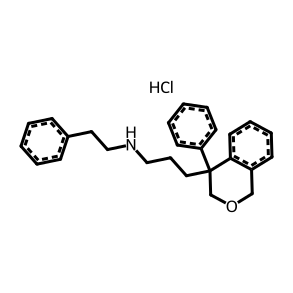 Cl.c1ccc(CCNCCCC2(c3ccccc3)COCc3ccccc32)cc1